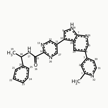 Cc1cc(-c2cnc3[nH]cc(-c4cnc(C(=O)NC(C)c5ccccc5)nc4)c3c2)ccn1